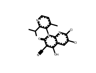 Cc1ccnc(C(C)C)c1-n1c(=O)c(C#N)c(O)c2cc(Cl)c(Cl)nc21